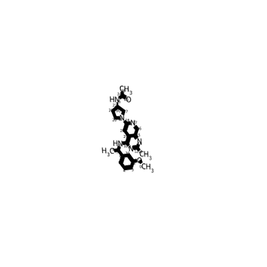 COc1cccc(C(C)Nc2nc(C)nc3cnc(N4CC[C@@H](NC(C)=O)C4)cc23)c1